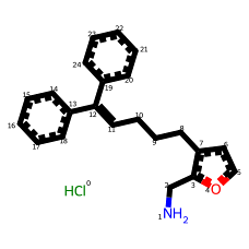 Cl.NCc1occc1CCCC=C(c1ccccc1)c1ccccc1